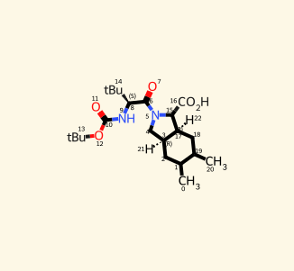 CC1C[C@H]2CN(C(=O)[C@@H](NC(=O)OC(C)(C)C)C(C)(C)C)C(C(=O)O)[C@H]2CC1C